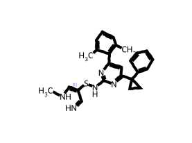 CN/C=C(\C=N)SNc1nc(-c2c(C)cccc2C)cc(C2(c3ccccc3)CC2)n1